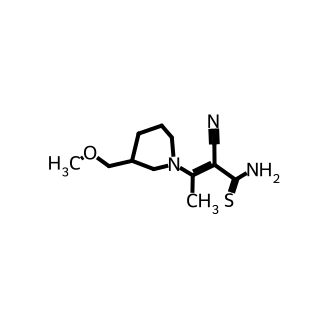 COCC1CCCN(/C(C)=C(\C#N)C(N)=S)C1